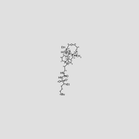 CCC(CCCC(C)(C)C)S(=O)(=O)NC(=O)NCCC[C@H]1CCC[C@H]2[C@@H]3[C@H](O)[C@H](CC)CCCCC[C@H](C)[C@H]3CC[C@]12C